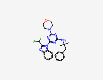 CC(C)(Cc1ccccc1)Nc1nc(N2CCOCC2)nc(-n2c(C(F)F)nc3ccccc32)n1